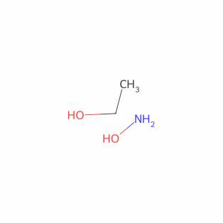 CCO.NO